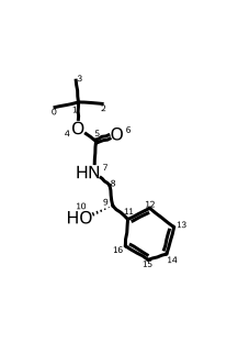 CC(C)(C)OC(=O)NC[C@@H](O)c1ccccc1